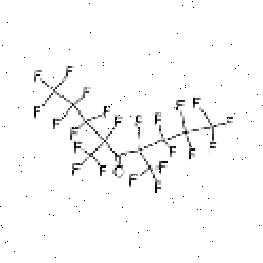 O=C(C(F)(C(F)(F)F)C(F)(F)C(F)(F)C(F)(F)F)C(F)(C(F)(F)F)C(F)(F)C(F)(F)C(F)(F)F